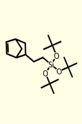 CC(C)(C)O[Si](CCC1CC2C=CC1C2)(OC(C)(C)C)OC(C)(C)C